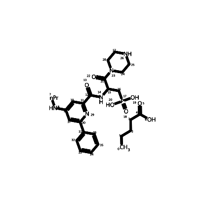 CCCCC(=O)O.CCCNc1cc(C(=O)NC(CP(=O)(O)O)C(=O)N2CCNCC2)nc(-c2ccccc2)c1